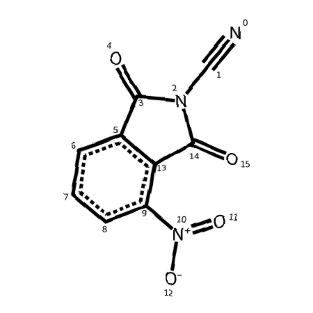 N#CN1C(=O)c2cccc([N+](=O)[O-])c2C1=O